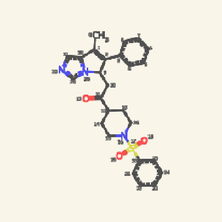 CC1=C(c2ccccc2)C(CC(=O)C2CCN(S(=O)(=O)c3ccccc3)CC2)n2cncc21